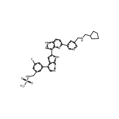 CS(=O)(=O)NCc1cc(F)cc(-c2cncc3[nH]c(-c4n[nH]c5ccc(-c6cncc(CNCC7CCCC7)c6)nc45)cc23)c1